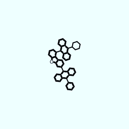 c1ccc(-c2c3ccccc3c(-c3ccc4c(c3)oc3cccc(-c5c6ccccc6c(C6CCCCC6)c6ccccc56)c34)c3ccccc23)cc1